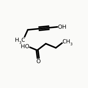 CCC#CO.CCCC(=O)O